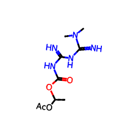 CC(=O)OC(C)OC(=O)NC(=N)NC(=N)N(C)C